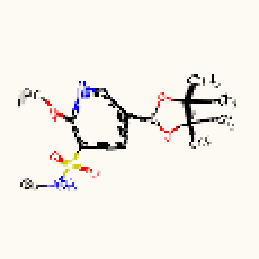 CC(C)Oc1ncc(B2OC(C)(C)C(C)(C)O2)cc1S(=O)(=O)NC(C)(C)C